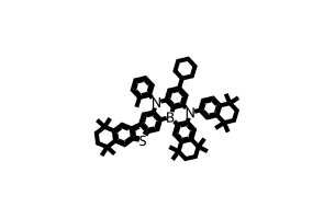 Cc1ccccc1N1c2cc3c(cc2B2c4cc5c(cc4N(c4ccc6c(c4)C(C)(C)CCC6(C)C)c4cc(C6CCCCC6)cc1c42)C(C)(C)CCC5(C)C)sc1cc2c(cc13)C(C)(C)CCC2(C)C